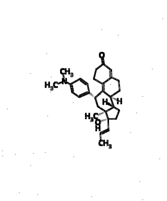 CC=C[C@]1(O)CC[C@H]2[C@@H]3CCC4=CC(=O)CCC4=C3[C@@H](c3ccc(N(C)C)cc3)C[C@@]21C